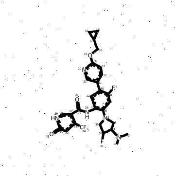 CN(C)C1CN(c2cc(F)c(-c3ccc(OCC4CC4)nc3)cc2NC(=O)c2c[nH]c(=O)cc2C(F)(F)F)CC1F